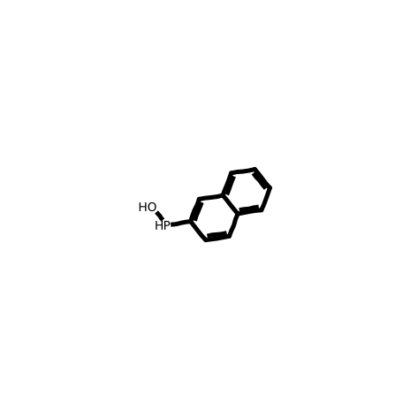 OPc1ccc2ccccc2c1